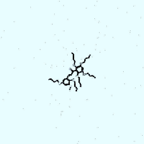 CCCCOc1cc(C=CC(=O)c2c(OCCCC)c(OCCCC)cc(OCCCC)c2OCCCC)c(OCCCC)c(OC)c1